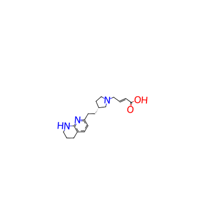 O=C(O)/C=C/CN1CC[C@@H](CCc2ccc3c(n2)NCCC3)C1